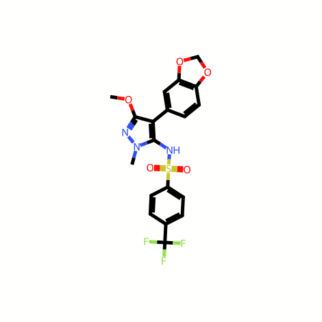 COc1nn(C)c(NS(=O)(=O)c2ccc(C(F)(F)F)cc2)c1-c1ccc2c(c1)OCO2